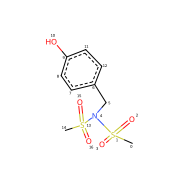 CS(=O)(=O)N(Cc1ccc(O)cc1)S(C)(=O)=O